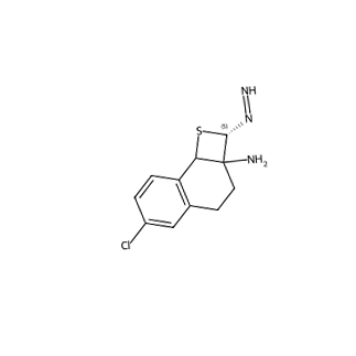 N=N[C@H]1SC2c3ccc(Cl)cc3CCC21N